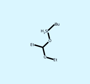 CCOC(CC)O[SiH2]C(C)CC